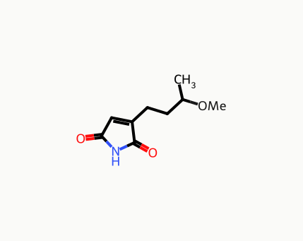 COC(C)CCC1=CC(=O)NC1=O